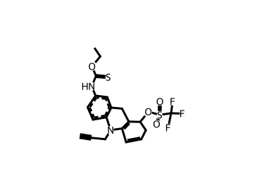 C#CCN1C2=C(Cc3cc(NC(=S)OCC)ccc31)C(OS(=O)(=O)C(F)(F)F)CC=C2